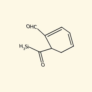 O=CC1=CC=CCC1C(=O)[SiH3]